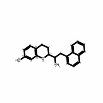 NC(Cc1cccc2ccccc12)C1CCc2ccc(O)cc2O1